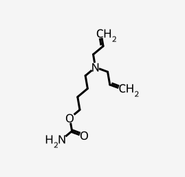 C=CCN(CC=C)CCCCOC(N)=O